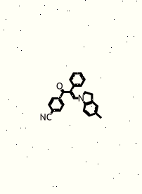 Cc1ccc2c(c1)CCN2/C=C(/C(=O)c1ccc(C#N)cc1)c1ccccc1